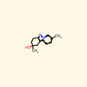 Cc1ccc2c3c(nn2c1)CCC(C)(O)C3